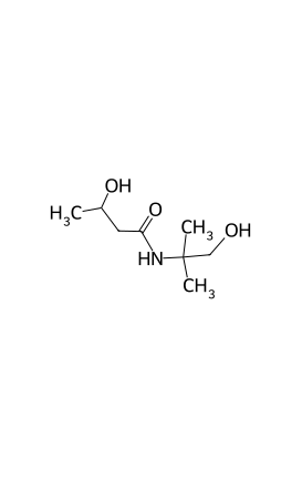 CC(O)CC(=O)NC(C)(C)CO